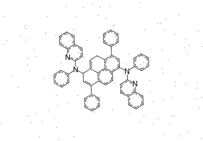 C1=C(c2ccccc2)c2ccc3c(N(c4ccccc4)c4ccc5ccccc5n4)cc(-c4ccccc4)c4c3c2C(=CC4)C1N(c1ccccc1)c1ccc2ccccc2n1